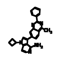 Cc1nc(-c2ccccc2)nc2cc(-c3cn(C4CCC4)c4ccnc(N)c34)ccc12